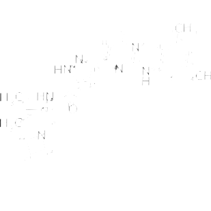 Cc1cc(C)cc(Nc2nccc(-c3cc(C(=O)N[C@H](CN4CCC4)C(C)C)[nH]n3)n2)c1